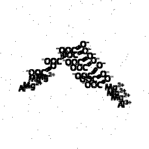 O=C([O-])[O-].O=C([O-])[O-].O=C([O-])[O-].O=C([O-])[O-].O=C([O-])[O-].O=C([O-])[O-].O=C([O-])[O-].O=C([O-])[O-].O=C([O-])[O-].[Al+3].[Al+3].[Mg+2].[Mg+2].[Mg+2].[Mg+2].[Mg+2].[Mg+2]